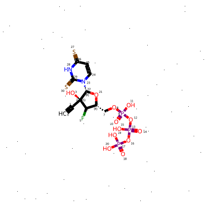 C#C[C@@]1(O)C(F)[C@@H](COP(=O)(O)OP(=O)(O)OP(=O)(O)O)O[C@H]1n1ccc(=S)[nH]c1=S